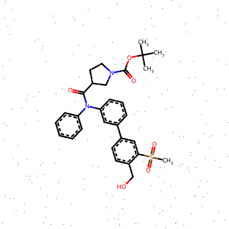 CC(C)(C)OC(=O)N1CCC(C(=O)N(c2ccccc2)c2cccc(-c3ccc(CO)c(S(C)(=O)=O)c3)c2)C1